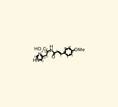 COc1ccc(C=CC(=O)N[C@@H](Cc2c[nH]cn2)C(=O)O)cc1